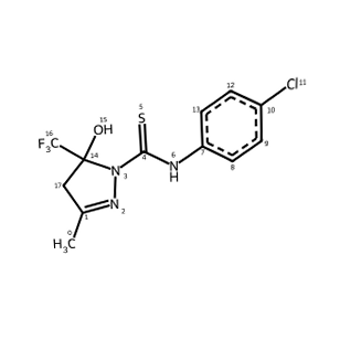 CC1=NN(C(=S)Nc2ccc(Cl)cc2)C(O)(C(F)(F)F)C1